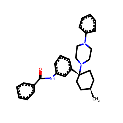 C[C@H]1CC[C@](c2cccc(NC(=O)c3ccccc3)c2)(N2CCN(c3ccccc3)CC2)CC1